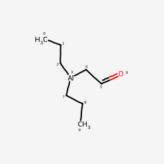 CC[CH2][Al]([CH2]C=O)[CH2]CC